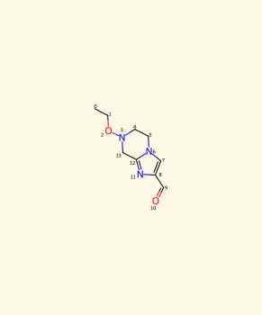 CCON1CCn2cc(C=O)nc2C1